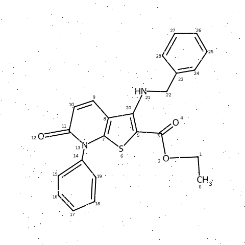 CCOC(=O)c1sc2c(ccc(=O)n2-c2ccccc2)c1NCc1ccccc1